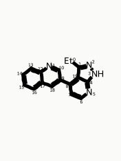 CCc1n[nH]c2nccc(-c3cnc4ccccc4c3)c12